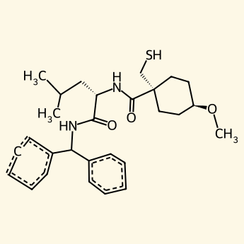 CO[C@H]1CC[C@@](CS)(C(=O)N[C@@H](CC(C)C)C(=O)NC(c2ccccc2)c2ccccc2)CC1